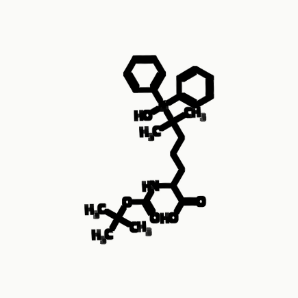 CC(C)(C)OC(=O)NC(CCCC(C)(C)[Si](O)(c1ccccc1)c1ccccc1)C(=O)O